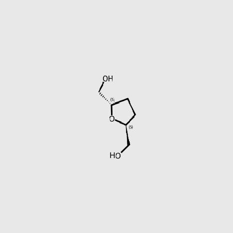 OC[C@@H]1CC[C@@H](CO)O1